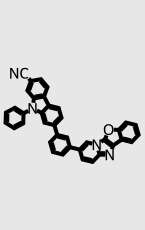 N#Cc1ccc2c3ccc(-c4cccc(-c5ccc6nc7c8ccccc8oc7n6c5)c4)cc3n(-c3ccccc3)c2c1